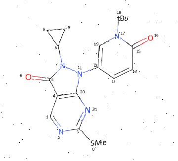 CSc1ncc2c(=O)n(C3CC3)n(-c3ccc(=O)n(C(C)(C)C)c3)c2n1